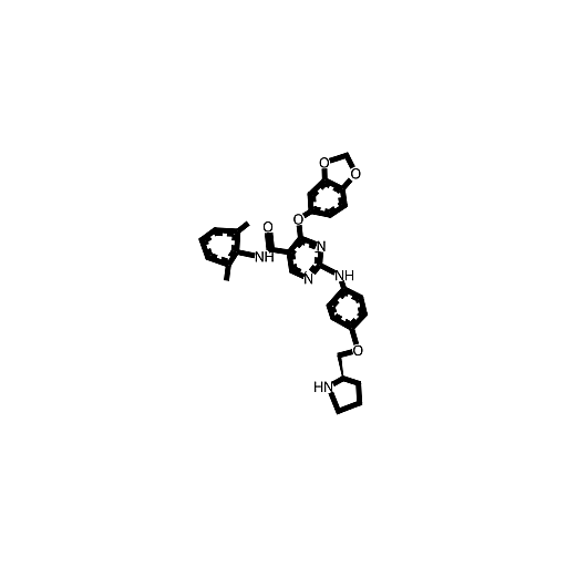 Cc1cccc(C)c1NC(=O)c1cnc(Nc2ccc(OC[C@H]3CCCN3)cc2)nc1Oc1ccc2c(c1)OCO2